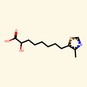 Cc1ncsc1CCCCCCC(O)C(=O)O